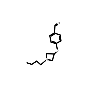 O=Cc1ccc(OC2CN(CCCF)C2)cc1